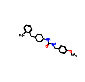 COc1ccc(CNC(=O)NC2CCC(Cc3ccccc3C)CC2)cc1